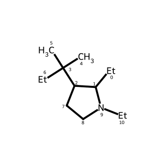 CCC1C(C(C)(C)CC)CCN1CC